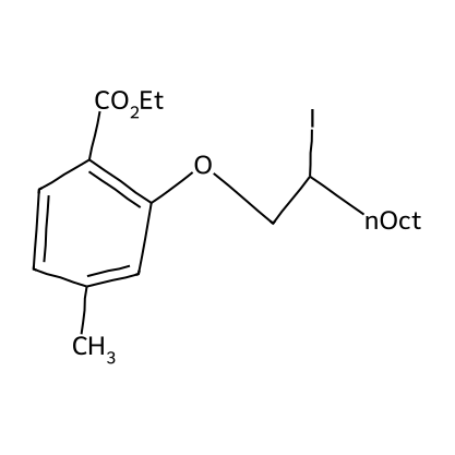 CCCCCCCCC(I)COc1cc(C)ccc1C(=O)OCC